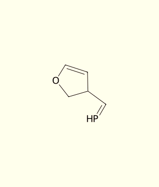 P=CC1C=COC1